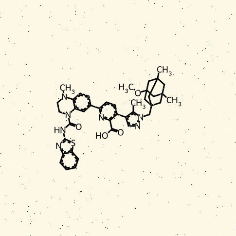 COC12CC3(C)CC(C)(CC(Cn4ncc(-c5ccc(-c6ccc7c(c6)N(C(=O)Nc6nc8ccccc8s6)CCN7C)nc5C(=O)O)c4C)(C3)C1)C2